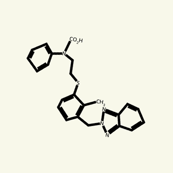 Cc1c(Cn2nc3ccccc3n2)cccc1SCCN(C(=O)O)c1ccccc1